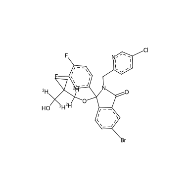 [2H]C([2H])(O)C1(C([2H])([2H])OC2(c3ccc(F)c(F)c3)c3ccc(Br)cc3C(=O)N2Cc2ccc(Cl)cn2)CC1